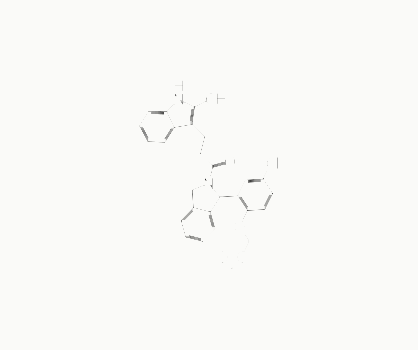 Cc1[nH]c2ccccc2c1CCC(=O)N1Cc2ccccc2C1c1cc(Cl)ccc1OCC(=O)O